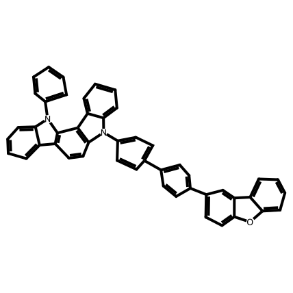 c1ccc(-n2c3ccccc3c3ccc4c(c5ccccc5n4-c4ccc(-c5ccc(-c6ccc7oc8ccccc8c7c6)cc5)cc4)c32)cc1